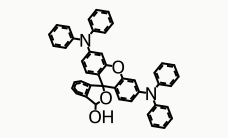 OC1OC2(c3ccc(N(c4ccccc4)c4ccccc4)cc3Oc3cc(N(c4ccccc4)c4ccccc4)ccc32)c2ccccc21